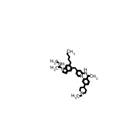 C=C(Nc1cc(Cc2cc3ccn(C(=C)NC)c3cc2CCCCC)ccn1)c1ccc(C2CCN(CC)CC2)cc1